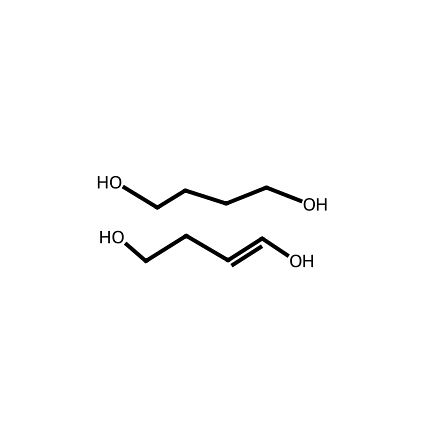 OC=CCCO.OCCCCO